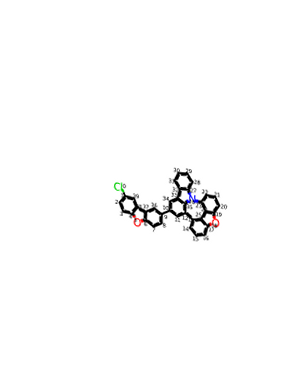 Clc1ccc2oc3ccc(-c4cc5c6cccc7oc8cccc(c8c76)n6c7ccccc7c(c4)c56)cc3c2c1